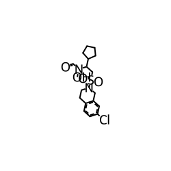 O=CN(O)C(CS(=O)(=O)N1CCc2ccc(Cl)cc2C1)C1CCCC1